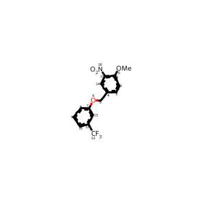 COc1ccc(COc2cccc(C(F)(F)F)c2)cc1[N+](=O)[O-]